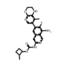 Cc1c(-c2cc3cc(NC(=O)OC4CCC4C)ncc3c(N)c2F)cnc2c1NCCO2